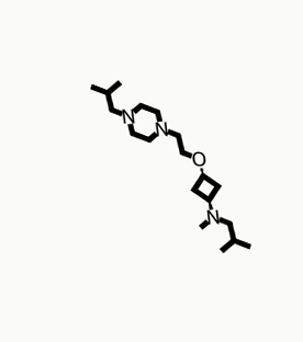 CC(C)CN1CCN(CCO[C@H]2C[C@H](N(C)CC(C)C)C2)CC1